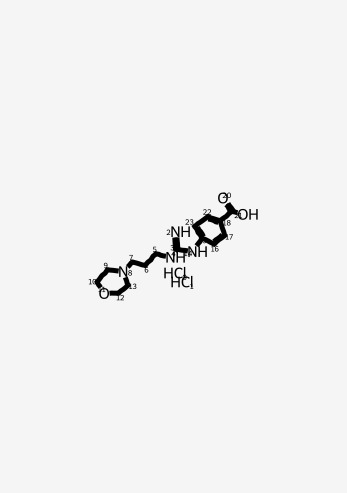 Cl.Cl.N=C(NCCCN1CCOCC1)Nc1ccc(C(=O)O)cc1